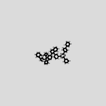 C1=CC(c2c(-c3ccc4c(c3)C3(c5ccccc5-4)c4ccccc4-n4c5ccccc5c5cccc3c54)ccc3ccccc23)=CC(c2nc(-c3ccccc3)nc(-c3ccc(-c4ccccc4)cc3)n2)C1